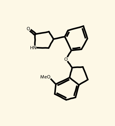 COc1cccc2c1C(Oc1ccccc1C1CNC(=O)C1)CC2